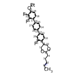 C/C=C/CCC1OCC(c2ccc(-c3ccc(-c4ccc(OCC)c(F)c4F)cc3)cc2F)CO1